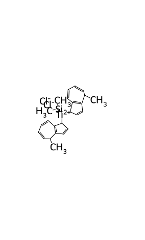 CC1C=CC=CC2=C1C=C[CH]2[Ti+2]([CH]1C=CC2=C1C=CC=CC2C)=[Si](C)C.[Cl-].[Cl-]